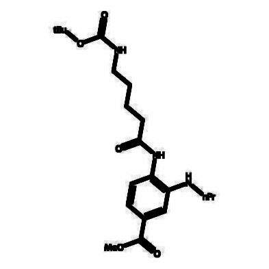 CCCNc1cc(C(=O)OC)ccc1NC(=O)CCCCNC(=O)OC(C)(C)C